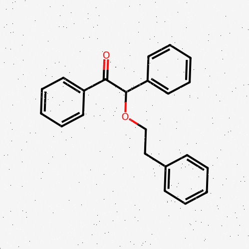 O=C(c1ccccc1)C(OCCc1ccccc1)c1ccccc1